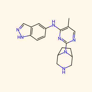 Cc1cnc(N2C3CCC2CNC3)nc1Nc1ccc2[nH]ncc2c1